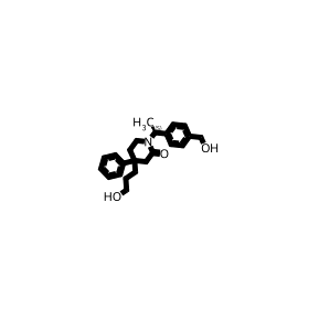 C[C@@H](c1ccc(CO)cc1)N1CCC(CCCO)(c2ccccc2)CC1=O